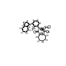 O=C(Nc1cccc(-c2csc3ccccc23)c1F)[C@@H]1CCCCCN1S(=O)(=O)CCl